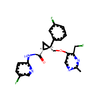 Cc1ncc(OC[C@@]2(c3cccc(F)c3)C[C@H]2C(=O)Nc2ccc(F)cn2)c(CF)n1